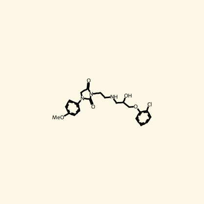 COc1ccc(N2CC(=O)N(CCNCC(O)COc3ccccc3Cl)C2=O)cc1